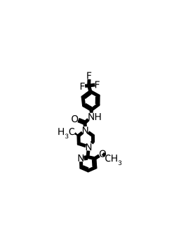 COc1cccnc1N1CCN(C(=O)Nc2ccc(C(F)(F)F)cc2)[C@H](C)C1